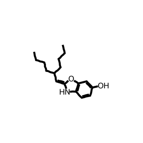 CCCCC(C=C1Nc2ccc(O)cc2O1)CCCC